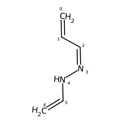 C=C/C=N\NC=C